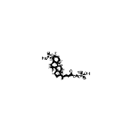 CC(CCC(=O)OCOP(=O)(O)O)C1CCC2C3C(CCC12C)C1(C)CCC(F)(OP(=O)(O)O)CC1CC3(F)F